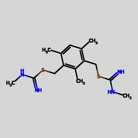 CNC(=N)SCc1c(C)cc(C)c(CSC(=N)NC)c1C